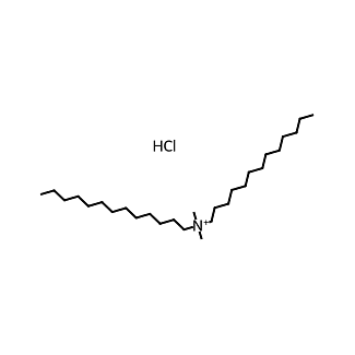 CCCCCCCCCCCCC[N+](C)(C)CCCCCCCCCCCCC.Cl